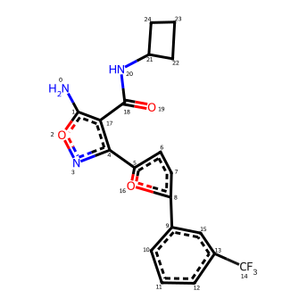 Nc1onc(-c2ccc(-c3cccc(C(F)(F)F)c3)o2)c1C(=O)NC1CCC1